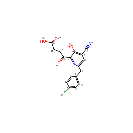 N#Cc1cc(Cc2ccc(F)cc2)nc(C(=O)CCC(=O)O)c1O